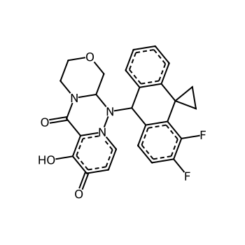 O=C1c2c(O)c(=O)ccn2N(C2c3ccccc3C3(CC3)c3c2ccc(F)c3F)C2COCCN12